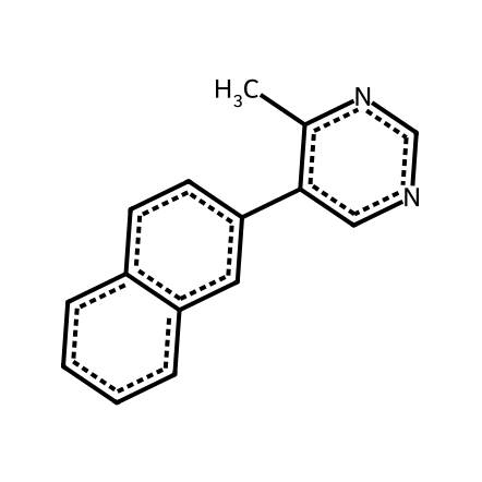 Cc1ncncc1-c1ccc2ccccc2c1